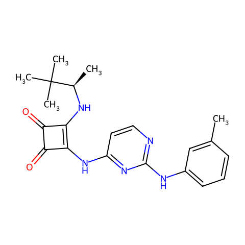 Cc1cccc(Nc2nccc(Nc3c(N[C@H](C)C(C)(C)C)c(=O)c3=O)n2)c1